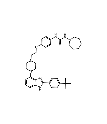 CC(C)(C)c1ccc(-c2nc3c(N4CCN(CCOc5ccc(NC(=O)NN6CCCCCC6)cc5)CC4)cccc3[nH]2)cc1